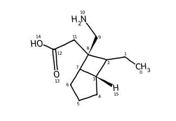 CCC1[C@@H]2CCCC2[C@]1(CN)CC(=O)O